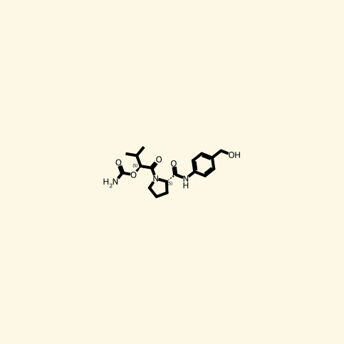 CC(C)[C@H](OC(N)=O)C(=O)N1CCC[C@H]1C(=O)Nc1ccc(CO)cc1